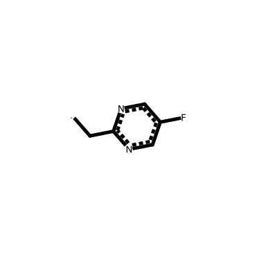 [CH2]Cc1ncc(F)cn1